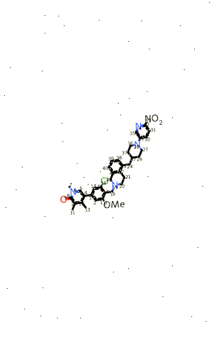 COc1cc(-c2cn(C)c(=O)c(C)c2C)cc(Cl)c1CN1CCc2c(CC3CCN(c4ccc([N+](=O)[O-])nc4)CC3)cccc2C1